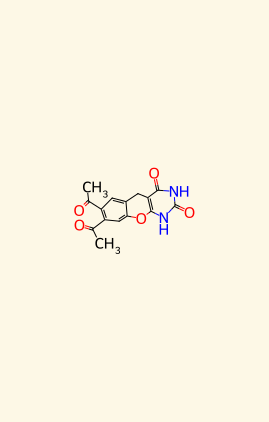 CC(=O)c1cc2c(cc1C(C)=O)Oc1[nH]c(=O)[nH]c(=O)c1C2